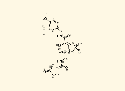 COc1ccc(CNC(=O)C(=O)C2CC(F)(F)CN2C(=O)CNC(=O)C2CCC(=O)N2)cc1OC